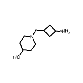 NC1CC(CN2CCC(O)CC2)C1